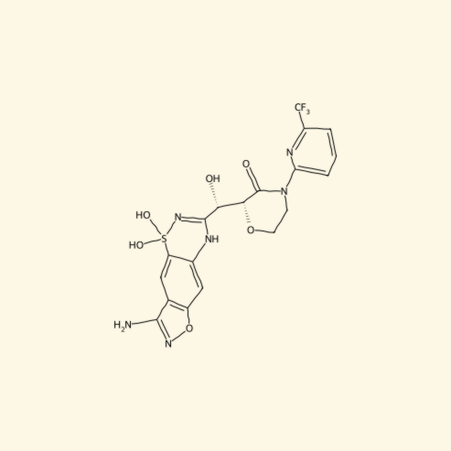 Nc1noc2cc3c(cc12)S(O)(O)N=C([C@H](O)[C@H]1OCCN(c2cccc(C(F)(F)F)n2)C1=O)N3